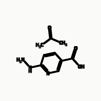 CC(C)=O.NNc1ccc(C(=O)O)cn1